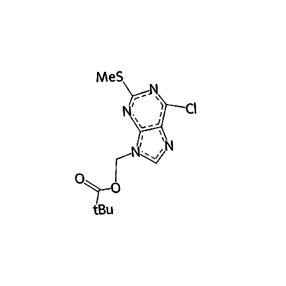 CSc1nc(Cl)c2ncn(COC(=O)C(C)(C)C)c2n1